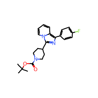 CC(C)(C)OC(=O)N1CCC(c2nc(-c3ccc(F)cc3)c3ccccn23)CC1